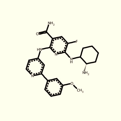 COc1cccc(-c2cc(Nc3nc(NC4CCCC[C@@H]4N)c(F)cc3C(N)=O)ccn2)c1